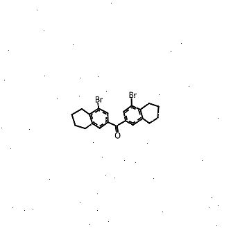 O=C(c1cc(Br)c2c(c1)CCCC2)c1cc(Br)c2c(c1)CCCC2